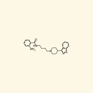 Nc1ccccc1C(=O)NCCCCN1CCC(c2nsc3ccccc23)CC1